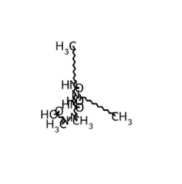 CCCCCCCCCCCCNC(=O)CN(CCNC(=O)CCN(C)CCN(C)CCC(=O)O)CC(O)CCCCCCCCCCCC